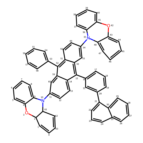 C1=CC2Oc3ccccc3N(c3ccc4c(-c5cccc(-c6cccc7ccccc67)c5)c5cc(N6c7ccccc7Oc7ccccc76)ccc5c(-c5ccccc5)c4c3)C2C=C1